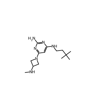 CNC1CN(c2cc(NCCC(C)(C)C)nc(N)n2)C1